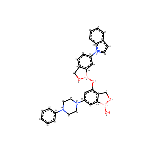 OB1OCc2c(OB3OCc4ccc(-n5ccc6ccccc65)cc43)cc(N3CCN(c4ccccc4)CC3)cc21